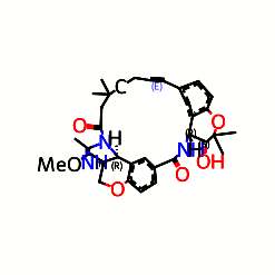 COC[C@@H]1COc2ccc3cc2[C@@H]1N(C(C)=N)C(=O)CC(C)(C)CC/C=C/c1ccc2c(c1)[C@@H](NC3=O)[C@H](O)C(C)(C)O2